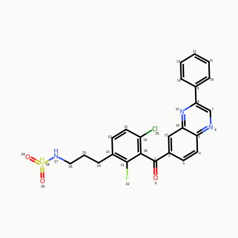 O=C(c1ccc2ncc(-c3ccccc3)nc2c1)c1c(Cl)ccc(CCCN[SH](=O)=O)c1F